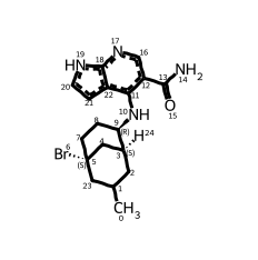 CC1C[C@H]2C[C@](Br)(CC[C@H]2Nc2c(C(N)=O)cnc3[nH]ccc23)C1